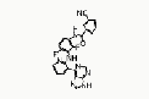 N#Cc1cccc(C(=O)Nc2ccc(F)c(Nc3ncccc3-c3ncnc4[nH]cnc34)c2F)c1